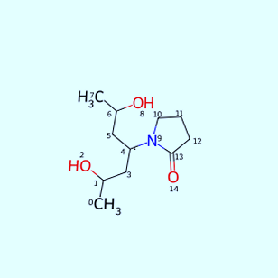 CC(O)C[C](CC(C)O)N1CCCC1=O